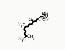 CC(C)=CCCC(C)=CCCC(Cl)=CCOCP(=O)(O)O